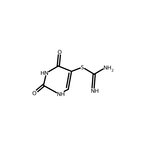 N=C(N)Sc1c[nH]c(=O)[nH]c1=O